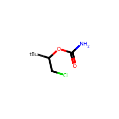 CC(C)(C)C(CCl)OC(N)=O